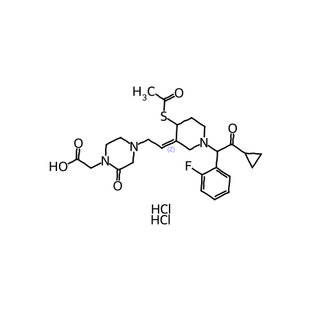 CC(=O)SC1CCN(C(C(=O)C2CC2)c2ccccc2F)C/C1=C/CN1CCN(CC(=O)O)C(=O)C1.Cl.Cl